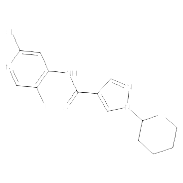 O=C(Nc1cc(Cl)ncc1I)c1cnn(C2CCCCO2)c1